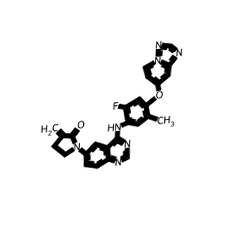 C=C1CCN(c2ccc3ncnc(Nc4cc(C)c(Oc5ccn6ncnc6c5)cc4F)c3c2)C1=O